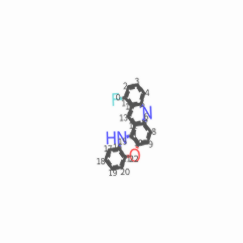 Fc1cccc2nc3ccc4c(c3cc12)Nc1ccccc1O4